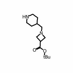 CC(C)(C)OC(=O)C1CN(CC2CCNCC2)C1